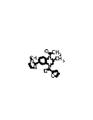 CC(=O)N1c2ccc(-c3nccn3C)cc2N(C(=O)c2ccco2)C[C@@H]1C